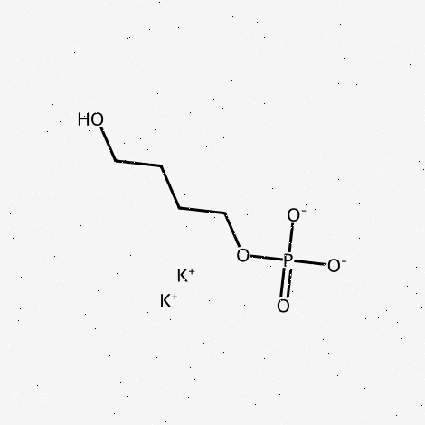 O=P([O-])([O-])OCCCCO.[K+].[K+]